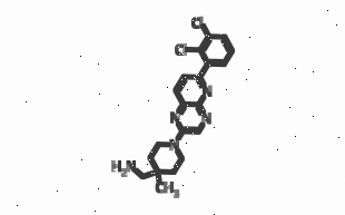 CC1(CN)CCN(c2cnc3nc(-c4cccc(Cl)c4Cl)ccc3n2)CC1